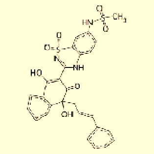 CS(=O)(=O)Nc1ccc2c(c1)S(=O)(=O)N=C(C1=C(O)c3ccccc3C(O)(C/C=C/c3ccccc3)C1=O)N2